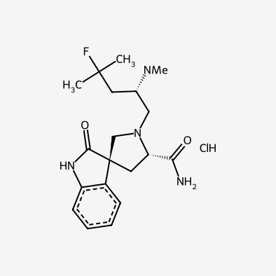 CN[C@H](CN1C[C@]2(C[C@H]1C(N)=O)C(=O)Nc1ccccc12)CC(C)(C)F.Cl